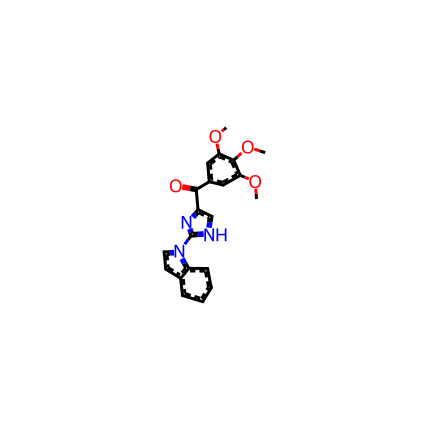 COc1cc(C(=O)c2c[nH]c(-n3ccc4ccccc43)n2)cc(OC)c1OC